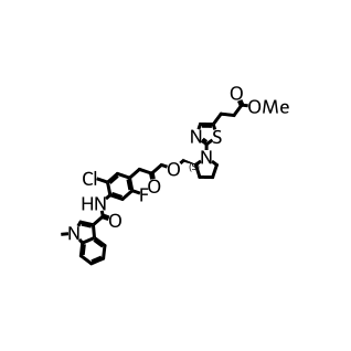 COC(=O)CCc1cnc(N2CCC[C@H]2COCC(=O)Cc2cc(Cl)c(NC(=O)c3cn(C)c4ccccc34)cc2F)s1